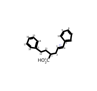 O=C(O)C(C/C=C/c1ccccc1)CCc1ccccc1